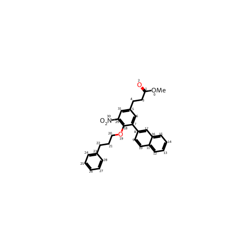 COC(=O)CCc1cc(-c2ccc3ccccc3c2)c(OCCCc2ccccc2)c([N+](=O)[O-])c1